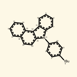 CC(C)(C)c1ccc(-n2c3ccccc3c3c4ccccc4ccc32)cc1